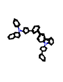 c1ccc(-c2ccc(-n3c4ccccc4c4cc(-c5cccc(-c6ccc(N(c7ccccc7)c7ccc8ccccc8c7)cc6)c5)ccc43)cc2)cc1